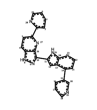 c1ccc(-c2ccc3[nH]nc(-c4cc5c(-c6cccnc6)ccnc5[nH]4)c3n2)nc1